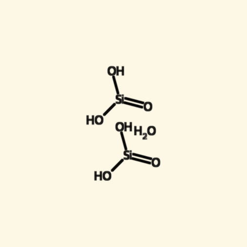 O.O=[Si](O)O.O=[Si](O)O